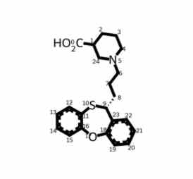 O=C(O)C1CCCN(CCC[C@H]2Sc3ccccc3Oc3ccccc32)C1